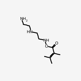 CC(C)=C(C)C(=O)ONCCNCCN